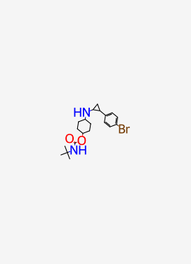 CC(C)(C)NC(=O)OC1CCC(NC2CC2c2ccc(Br)cc2)CC1